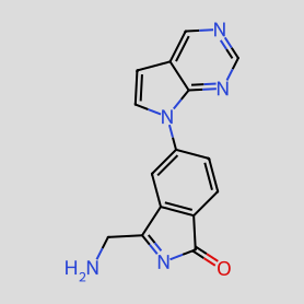 NCC1=NC(=O)c2ccc(-n3ccc4cncnc43)cc21